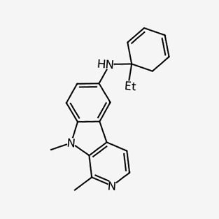 CCC1(Nc2ccc3c(c2)c2ccnc(C)c2n3C)C=CC=CC1